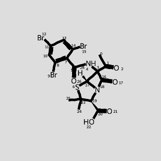 CC(=O)C1(NC(=O)c2c(Br)cc(Br)cc2Br)C(=O)N2[C@@H](C(=O)O)C(C)(C)S[C@@H]21